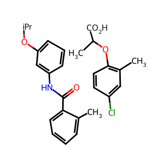 Cc1cc(Cl)ccc1OC(C)C(=O)O.Cc1ccccc1C(=O)Nc1cccc(OC(C)C)c1